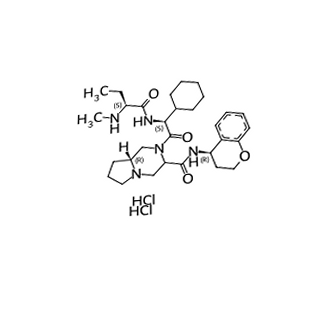 CC[C@H](NC)C(=O)N[C@H](C(=O)N1C[C@H]2CCCN2CC1C(=O)N[C@@H]1CCOc2ccccc21)C1CCCCC1.Cl.Cl